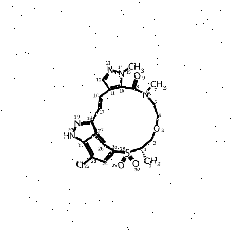 C[C@H]1COCCN(C)C(=O)c2c(cnn2C)/C=C/c2n[nH]c3c(Cl)cc(cc23)S1(=O)=O